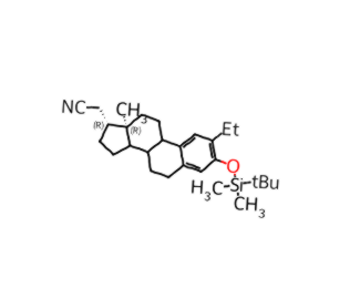 CCc1cc2c(cc1O[Si](C)(C)C(C)(C)C)CCC1C2CC[C@@]2(C)C1CC[C@@H]2CC#N